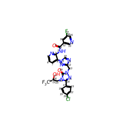 O=C(Nc1ncccc1-n1cnc(Cn2nc(-c3ccc(Cl)cc3)n(C[C@H](O)C(F)(F)F)c2=O)n1)c1cncc(F)c1